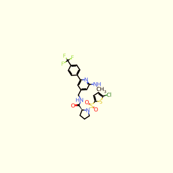 CNc1cc(CNC(=O)[C@@H]2CCCN2S(=O)(=O)c2ccc(Cl)s2)cc(-c2ccc(C(F)(F)F)cc2)n1